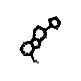 Nc1ncnc2c1sc1nc(-c3cccs3)ccc12